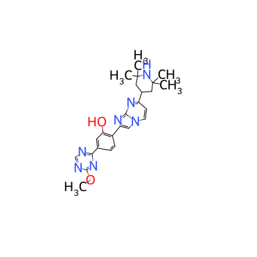 COc1ncnc(-c2ccc(-c3cn4ccc(C5CC(C)(C)NC(C)(C)C5)nc4n3)c(O)c2)n1